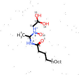 CCCCCCCCCCCC(=O)NC(C)[NH+]([O-])CC(O)O